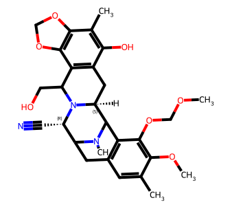 COCOc1c(OC)c(C)cc2c1C1[C@@H]3Cc4c(O)c(C)c5c(c4C(CO)N3[C@@H](C#N)C(C2)N1C)OCO5